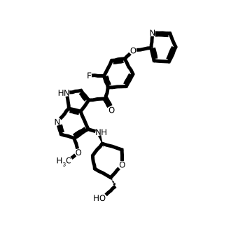 COc1cnc2[nH]cc(C(=O)c3ccc(Oc4ccccn4)cc3F)c2c1N[C@@H]1CC[C@@H](CO)OC1